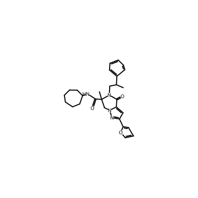 CC(CN1C(=O)c2cc(-c3ccco3)nn2CC1(C)C(=O)NC1CCCCCC1)c1ccccc1